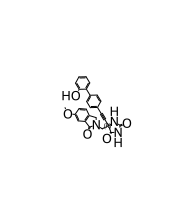 COc1ccc2c(c1)C(=O)N(C[C@@]1(C#Cc3ccc(-c4ccccc4O)cc3)NC(=O)NC1=O)C2